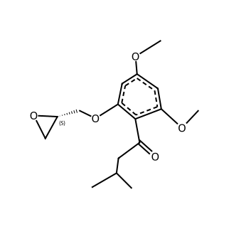 COc1cc(OC)c(C(=O)CC(C)C)c(OC[C@@H]2CO2)c1